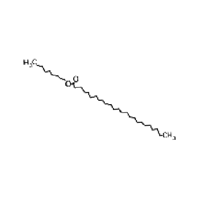 CCCCCCCCCCCCCCCCCCCCCCCCC(=O)OCCCCCCCCC